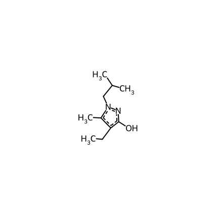 CCc1c(O)nn(CC(C)C)c1C